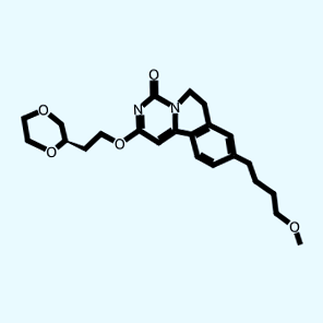 COCCCCc1ccc2c(c1)CCn1c-2cc(OCC[C@@H]2COCCO2)nc1=O